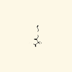 CC(=O)C1(C(=O)COCC=O)SS1